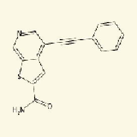 NC(=O)c1cc2c(C#Cc3ccccc3)cncc2s1